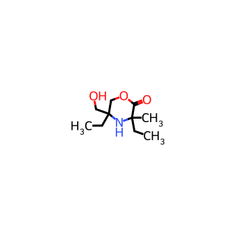 CCC1(CO)COC(=O)C(C)(CC)N1